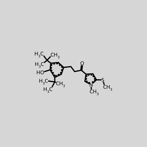 CSc1cc(C(=O)CCc2cc(C(C)(C)C)c(O)c(C(C)(C)C)c2)cn1C